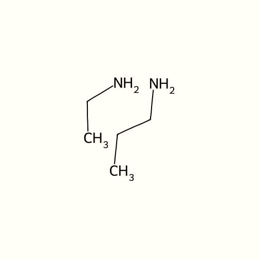 CCCN.CCN